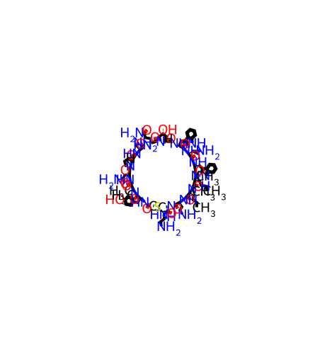 CCCC[C@H]1C(=O)N(C)[C@@H](CCCC)C(=O)N[C@@H](CCN)C(=O)N[C@H](C(=O)NCCN)CSCC(=O)N[C@@H](Cc2ccc(O)cc2)C(=O)N(C)[C@@H](C)C(=O)N[C@@H](CC(N)=O)C(=O)N2CCC[C@H]2C(=O)N[C@@H](CN)C(=O)N[C@@H](CCC(N)=O)C(=O)N2C[C@H](O)C[C@H]2C(=O)N[C@@H](Cc2c[nH]c3ccccc23)C(=O)N[C@@H](CCN)C(=O)N[C@@H](Cc2c[nH]c3ccccc23)C(=O)N1C